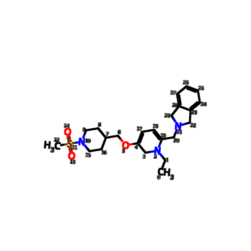 CCN1CC(OCC2CCN(S(C)(=O)=O)CC2)=CC=C1CN1Cc2ccccc2C1